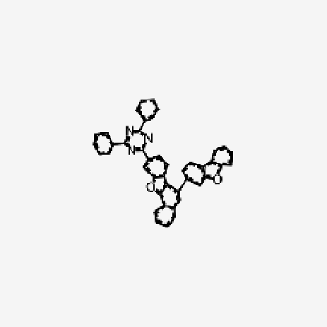 c1ccc(-c2nc(-c3ccccc3)nc(-c3ccc4c(c3)oc3c5ccccc5cc(-c5ccc6c(c5)oc5ccccc56)c43)n2)cc1